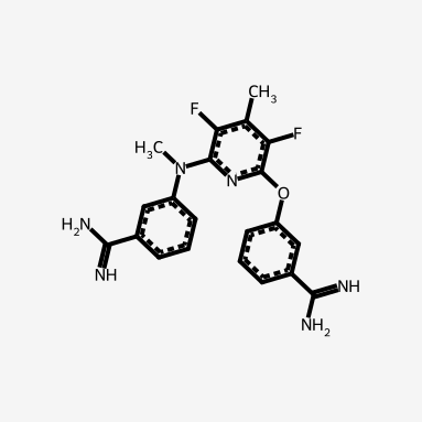 Cc1c(F)c(Oc2cccc(C(=N)N)c2)nc(N(C)c2cccc(C(=N)N)c2)c1F